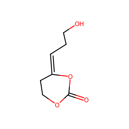 O=C1OCC/C(=C/CCO)O1